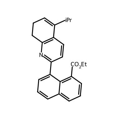 CCOC(=O)c1cccc2cccc(-c3ccc4c(n3)CCC=C4C(C)C)c12